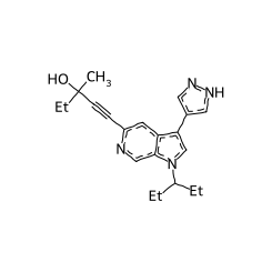 CCC(CC)n1cc(-c2cn[nH]c2)c2cc(C#CC(C)(O)CC)ncc21